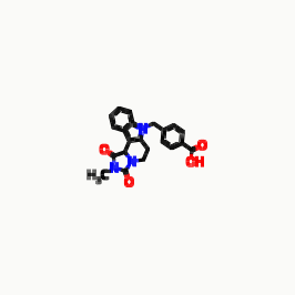 CN1C(=O)C2c3c(n(Cc4ccc(C(=O)O)cc4)c4ccccc34)CCN2C1=O